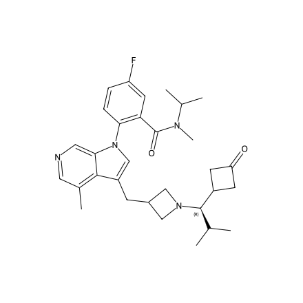 Cc1cncc2c1c(CC1CN([C@H](C(C)C)C3CC(=O)C3)C1)cn2-c1ccc(F)cc1C(=O)N(C)C(C)C